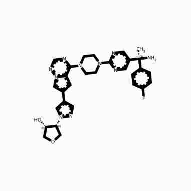 C[C@](N)(c1ccc(F)cc1)c1cnc(N2CCN(c3ncnn4cc(-c5cnn([C@@H]6COC[C@@H]6O)c5)cc34)CC2)nc1